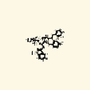 CC(C)(N)C(=O)NC(Cc1c[nH]c2ccccc12)c1nnc(CCc2ccccc2)n1Cc1ccc(F)cc1